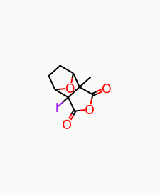 CC12C(=O)OC(=O)C1(I)C1CCC2O1